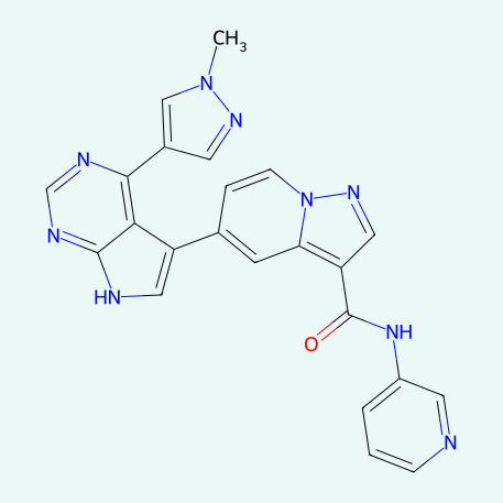 Cn1cc(-c2ncnc3[nH]cc(-c4ccn5ncc(C(=O)Nc6cccnc6)c5c4)c23)cn1